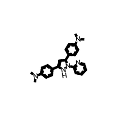 CN(C)c1ccc(C2=CC(c3ccc(N(C)C)cc3)N(c3ccccn3)N2)cc1